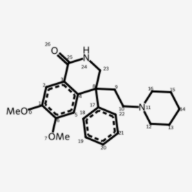 COc1cc2c(cc1OC)C(CCN1CCCCC1)(c1ccccc1)CNC2=O